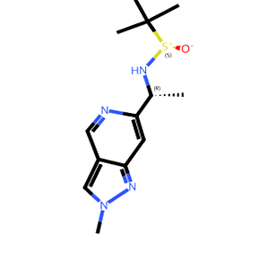 C[C@@H](N[S@+]([O-])C(C)(C)C)c1cc2nn(C)cc2cn1